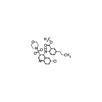 CCCc1ccc(Nc2c(S(=O)(=O)N3CCOCC3)cnc3ccc(Cl)cc23)c(C(=O)OC)c1